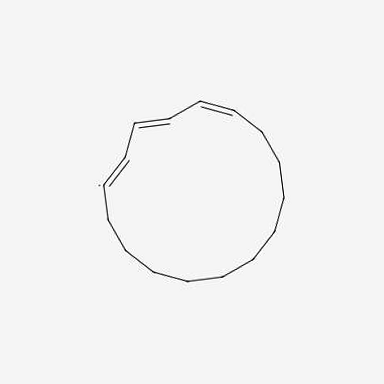 [C]1=C/C=C/C=C\CCCCCCCCCC/1